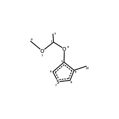 COC(C)Oc1cscc1C